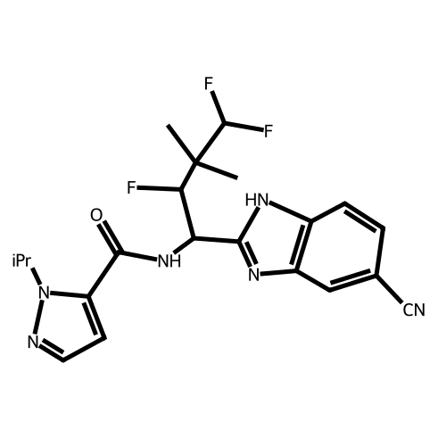 CC(C)n1nccc1C(=O)NC(c1nc2cc(C#N)ccc2[nH]1)C(F)C(C)(C)C(F)F